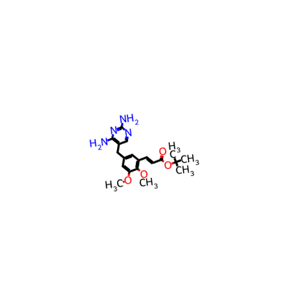 COc1cc(Cc2cnc(N)nc2N)cc(C=CC(=O)OC(C)(C)C)c1OC